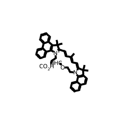 CC(/C=C/C1=[N+](CCC(=O)O)c2c(c3ccccc3c3ccccc23)C1(C)C)=C\C=C1/N(CCOC=O)c2c(ccc3ccccc23)C1(C)C